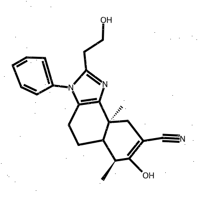 C[C@@H]1C(O)=C(C#N)C[C@]2(C)c3nc(CCO)n(-c4ccccc4)c3CCC12